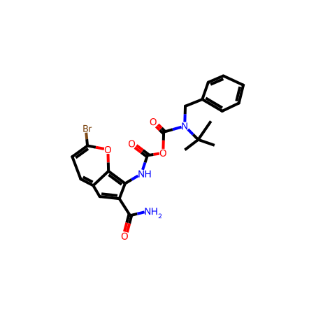 CC(C)(C)N(Cc1ccccc1)C(=O)OC(=O)Nc1c(C(N)=O)cc2ccc(Br)oc1-2